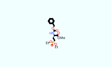 CCOP(=O)(CC[C@@H](NC(=O)OCc1ccccc1)C(=O)OC)OCC